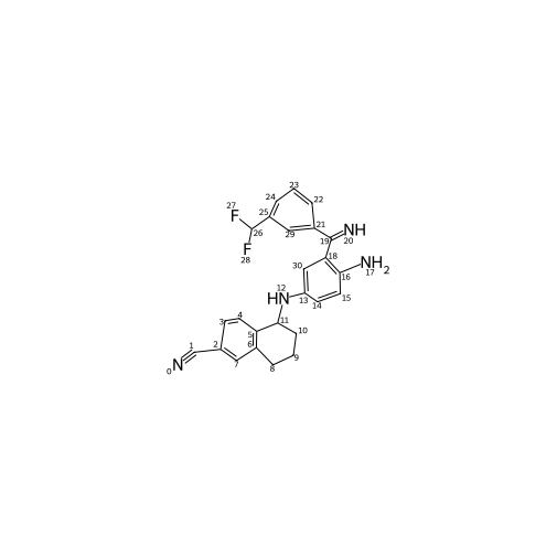 N#Cc1ccc2c(c1)CCCC2Nc1ccc(N)c(C(=N)c2cccc(C(F)F)c2)c1